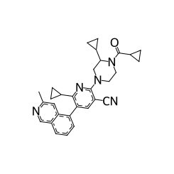 Cc1cc2c(-c3cc(C#N)c(N4CCN(C(=O)C5CC5)C(C5CC5)C4)nc3C3CC3)cccc2cn1